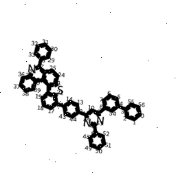 c1ccc(-c2cccc(-c3cc(-c4ccc(-c5cccc6c5sc5ccc7c(-c8ccccc8)nc8ccccc8c7c56)cc4)nc(-c4ccccc4)n3)c2)cc1